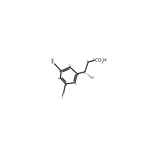 C[C@@H](CC(=O)O)c1cc(F)cc(F)c1